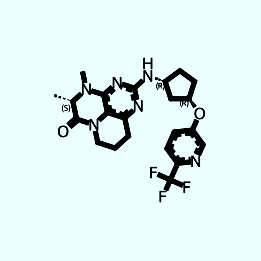 C[C@H]1C(=O)N2CCCc3nc(N[C@@H]4CC[C@@H](Oc5ccc(C(F)(F)F)nc5)C4)nc(c32)N1C